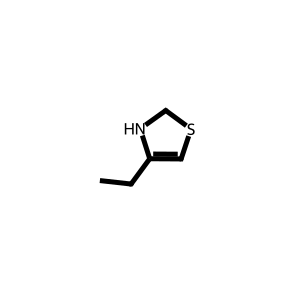 CCC1=CSCN1